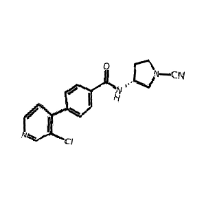 N#CN1CC[C@@H](NC(=O)c2ccc(-c3ccncc3Cl)cc2)C1